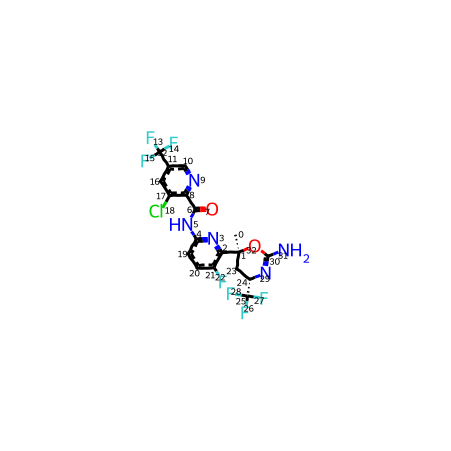 C[C@@]1(c2nc(NC(=O)c3ncc(C(F)(F)F)cc3Cl)ccc2F)C[C@@H](C(F)(F)F)N=C(N)O1